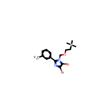 C[Si](C)(C)CCOCn1c(-c2cccc(C(F)(F)F)c2)nc(Br)c1Br